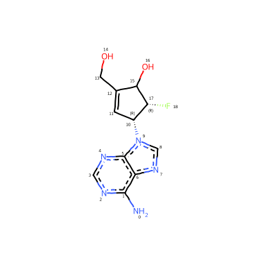 Nc1ncnc2c1ncn2[C@@H]1C=C(CO)C(O)[C@@H]1F